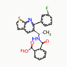 C[C@H](NC(=O)c1ccccc1C(=O)O)c1cc2ccsc2nc1-c1cccc(F)c1